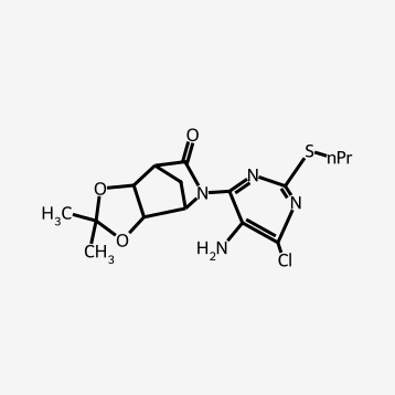 CCCSc1nc(Cl)c(N)c(N2C(=O)C3CC2C2OC(C)(C)OC32)n1